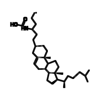 [CH2]CCC(CCC1CC[C@@]2(C)C(=CCC3C2CC[C@@]2(C)C3CC[C@@H]2[C@H](C)CCCC(C)C)C1)NC(=O)O